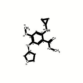 COC(=O)c1cc(O[C@H]2CCOC2)c(OC)cc1NC1CC1